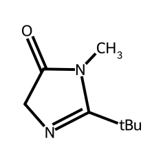 CN1C(=O)CN=C1C(C)(C)C